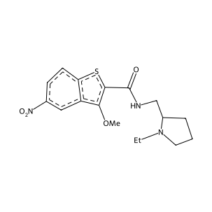 CCN1CCCC1CNC(=O)c1sc2ccc([N+](=O)[O-])cc2c1OC